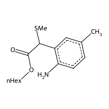 CCCCCCOC(=O)C(SC)c1cc(C)ccc1N